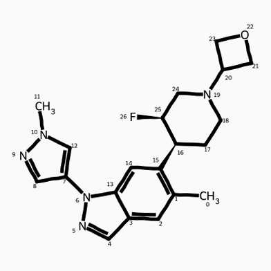 Cc1cc2cnn(-c3cnn(C)c3)c2cc1[C@@H]1CCN(C2COC2)C[C@@H]1F